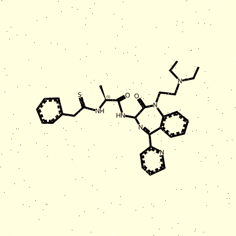 CCN(CC)CCN1C(=O)C(NC(=O)[C@H](C)NC(=S)Cc2ccccc2)N=C(c2ccccn2)c2ccccc21